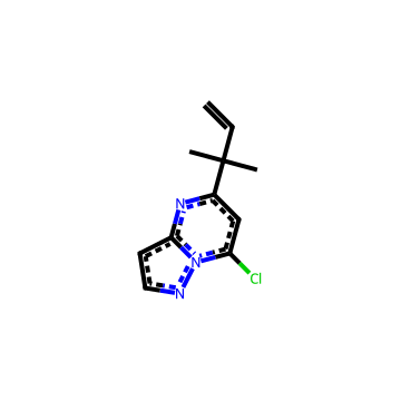 C=CC(C)(C)c1cc(Cl)n2nccc2n1